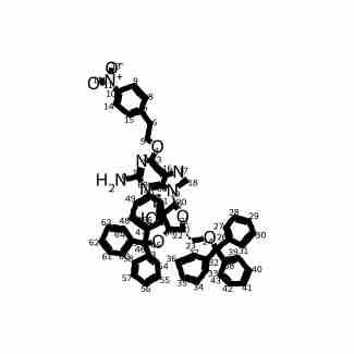 Nc1nc(OCCc2ccc([N+](=O)[O-])cc2)c2ncn([C@@H]3O[C@H](COC(c4ccccc4)(c4ccccc4)c4ccccc4)[C@@H](OC(c4ccccc4)(c4ccccc4)c4ccccc4)[C@@]3(O)F)c2n1